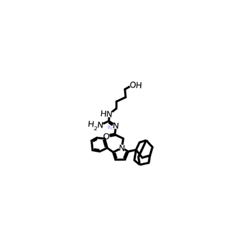 N/C(=N\C(=O)Cn1c(-c2ccccc2)ccc1C12CC3CC(CC(C3)C1)C2)NCCCCO